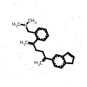 C=C(CCC(=C)c1ccccc1CN(C)C)c1ccc2c(c1)C=CC2